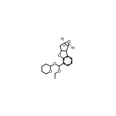 CCOC(OC1CCCCO1)c1cccc2c1OC1C[C@H]3O[C@H]3C21